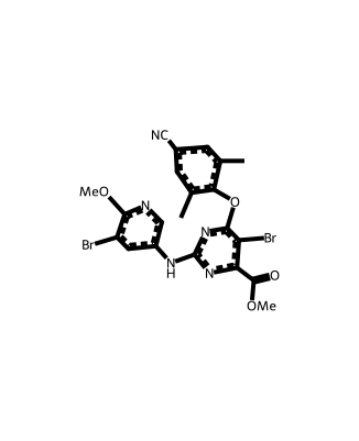 COC(=O)c1nc(Nc2cnc(OC)c(Br)c2)nc(Oc2c(C)cc(C#N)cc2C)c1Br